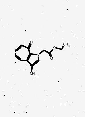 CCOC(=O)Cn1cc(C)c2ccccc(=O)c21